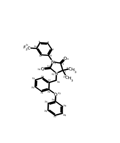 CC1(C)C(=O)N(c2cccc(C(F)(F)F)c2)C(=O)N1Cc1ccccc1Oc1ccccc1